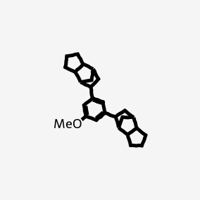 COc1cc(C2CC3CC2C2CCCC32)cc(C2CC3CC2C2CCCC32)c1